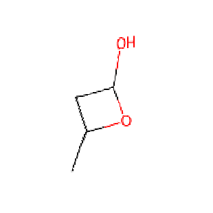 CC1CC(O)O1